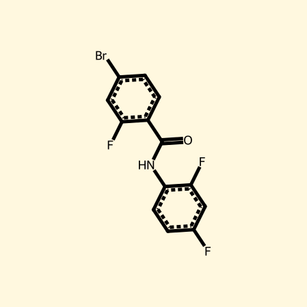 O=C(Nc1ccc(F)cc1F)c1ccc(Br)cc1F